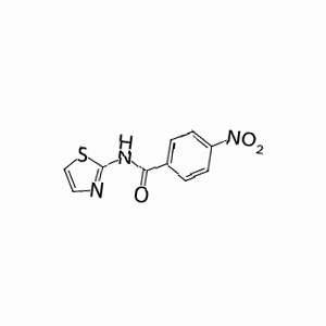 O=C(Nc1nccs1)c1ccc([N+](=O)[O-])cc1